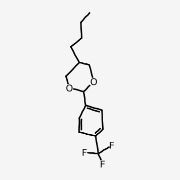 CCCCC1COC(c2ccc(C(F)(F)F)cc2)OC1